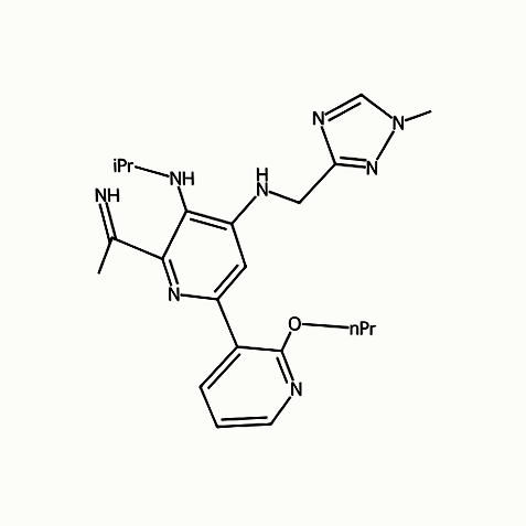 CCCOc1ncccc1-c1cc(NCc2ncn(C)n2)c(NC(C)C)c(C(C)=N)n1